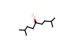 CC(C)CCC(=O)CCC(C)C.F